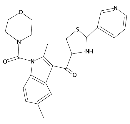 Cc1ccc2c(c1)c(C(=O)C1CSC(c3cccnc3)N1)c(C)n2C(=O)N1CCOCC1